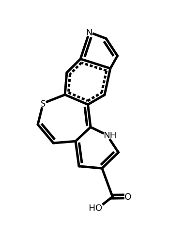 O=C(O)C1=CNC2=c3cc4c(cc3SC=CC2=C1)=NC=C4